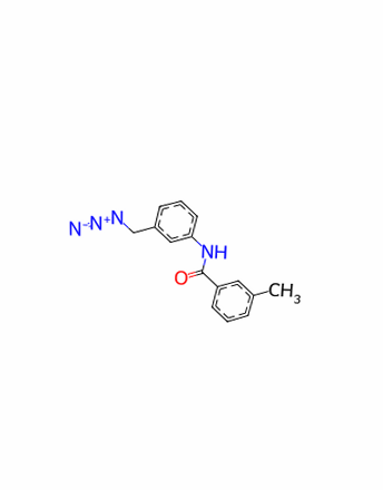 Cc1cccc(C(=O)Nc2cccc(CN=[N+]=[N-])c2)c1